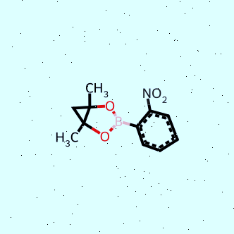 CC12CC1(C)OB(c1ccccc1[N+](=O)[O-])O2